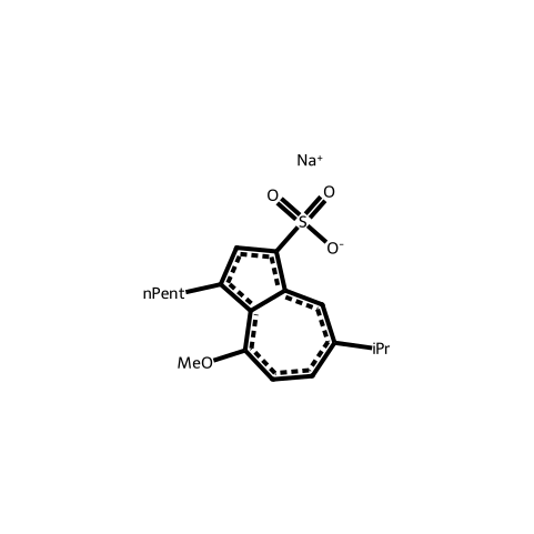 CCCCCc1cc(S(=O)(=O)[O-])c2cc(C(C)C)ccc(OC)c1-2.[Na+]